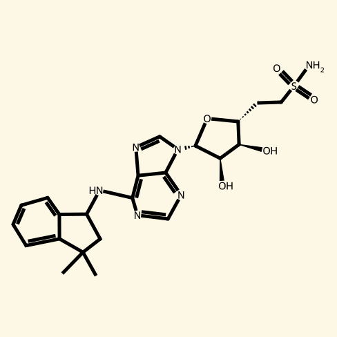 CC1(C)CC(Nc2ncnc3c2ncn3[C@@H]2O[C@H](CCS(N)(=O)=O)[C@@H](O)[C@H]2O)c2ccccc21